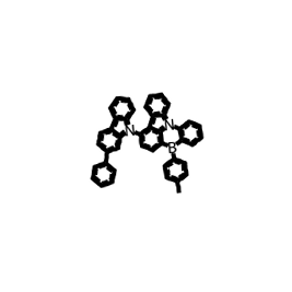 Cc1ccc(B2c3ccccc3-n3c4ccccc4c4c(-n5c6ccccc6c6ccc(-c7ccccc7)cc65)ccc2c43)cc1